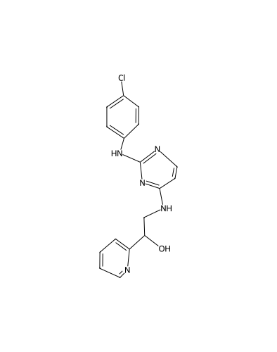 OC(CNc1ccnc(Nc2ccc(Cl)cc2)n1)c1ccccn1